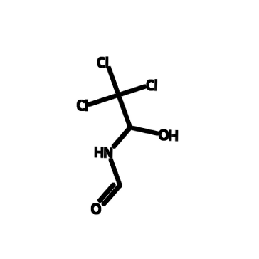 O=CNC(O)C(Cl)(Cl)Cl